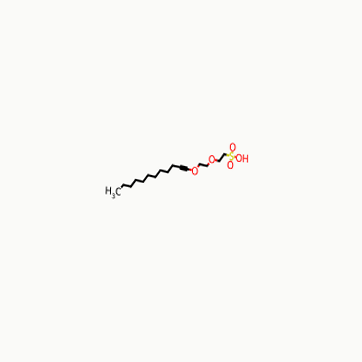 CCCCCCCCCCC#COCCOCCS(=O)(=O)O